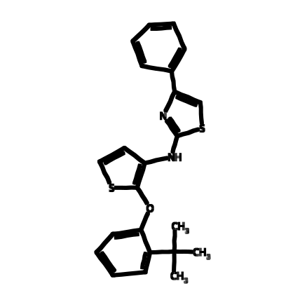 CC(C)(C)c1ccccc1Oc1sccc1Nc1nc(-c2ccccc2)cs1